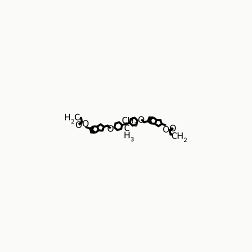 C=CC(=O)OCC1CC2C3CC(COC4CCC(C(C)(C)C5CCC(OCC6CC7C8CC(COC(=O)C=C)C(C8)C7C6)CC5)CC4)C(C3)C2C1